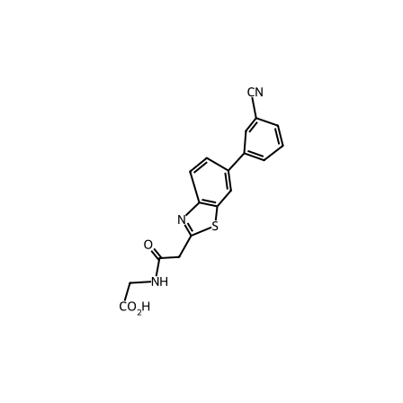 N#Cc1cccc(-c2ccc3nc(CC(=O)NCC(=O)O)sc3c2)c1